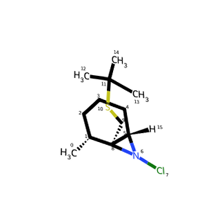 C[C@@H]1CCC[C@@H]2N(Cl)[C@@]12CSC(C)(C)C